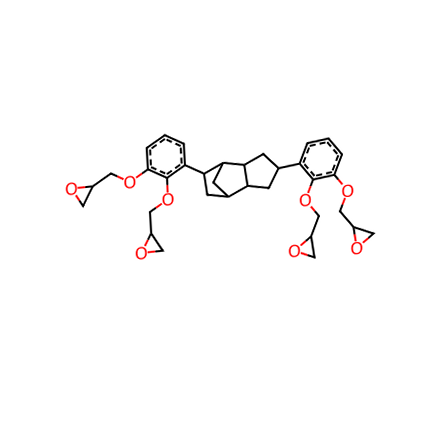 c1cc(OCC2CO2)c(OCC2CO2)c(C2CC3C4CC(c5cccc(OCC6CO6)c5OCC5CO5)C(C4)C3C2)c1